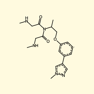 CNCC(=O)N(C(=O)CNC)C(C)COc1c[c]cc(-c2cnn(C)c2)c1